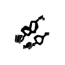 Nc1ccc2cc(S(=O)(=O)O)ccc2c1.O=C(O)C1CCN(O)CC1